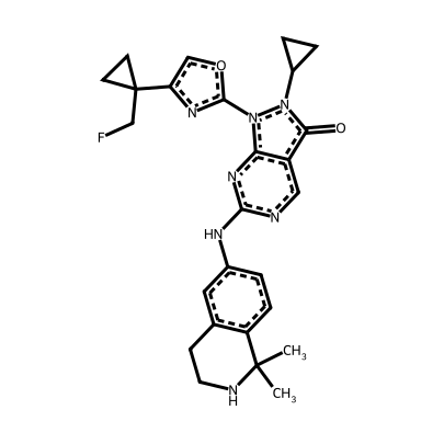 CC1(C)NCCc2cc(Nc3ncc4c(=O)n(C5CC5)n(-c5nc(C6(CF)CC6)co5)c4n3)ccc21